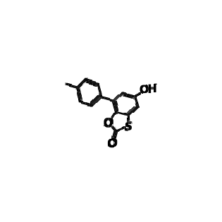 Cc1ccc(-c2cc(O)cc3sc(=O)oc23)cc1